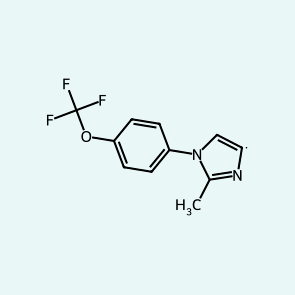 Cc1n[c]cn1-c1ccc(OC(F)(F)F)cc1